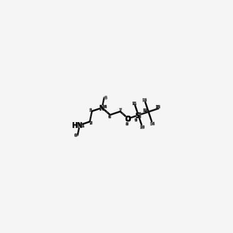 CNCCN(C)CCO[Si](C)(C)C(C)(C)C